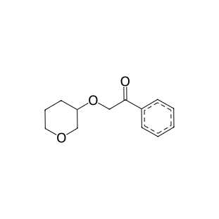 O=C(COC1CCCOC1)c1ccccc1